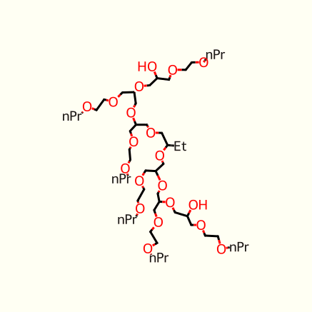 CCCOCCOCC(O)COC(COCCOCCC)COC(COCCOCCC)COCC(CC)OCC(COCCOCCC)OCC(COCCOCCC)OCC(O)COCCOCCC